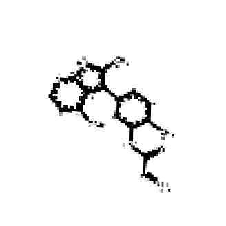 C=CC(=O)Nc1cc(-c2c(C)[nH]c3nccc(OC)c23)ccc1C